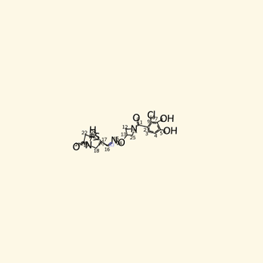 O=C(c1ccc(O)c(O)c1Cl)N1CC(O/N=C/[C@H]2CN3C(=O)C[C@H]3S2)C1